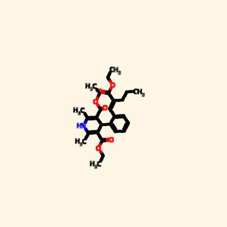 CCC/C(=C\c1ccccc1C1C(C(=O)OCC)=C(C)NC(C)=C1C(=O)OCC)C(=O)OCC